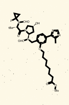 Cc1ncsc1-c1ccc(CN(C=O)[C@@H]2C[C@@H](O)CN2C(=O)[C@@H](N(C=O)C2(F)CC2)C(C)(C)C)c(OCCCCCCCC(=O)OC(C)(C)C)c1